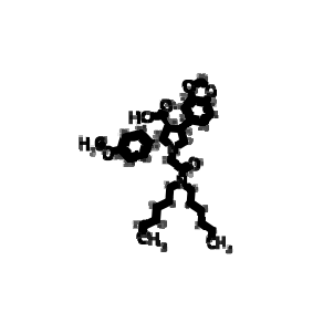 CCCCCCN(CCCCCC)C(=O)CN1CC(c2ccc3c(c2)OCO3)[C@H](C(=O)O)[C@H]1c1ccc(OC)cc1